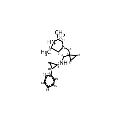 C[C@@H]1CN(CC2(CN[C@H]3C[C@@H]3c3ccccc3)CC2)C[C@H](C)N1